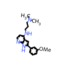 COc1cccc(-c2cc3c(NCCCN(C)C)ccnc3[nH]2)c1